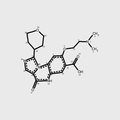 CN(C)CCOc1cc2c(cc1C(=O)O)[nH]c(=O)c1cnc(C3CCOCC3)n12